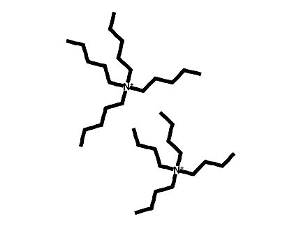 CCCCC[N+](CCCCC)(CCCCC)CCCCC.CCCC[N+](CCCC)(CCCC)CCCC